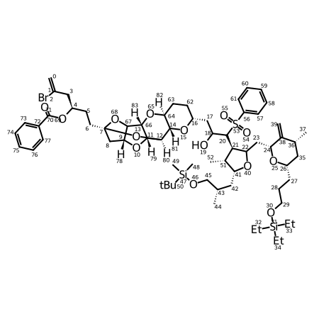 C=C(Br)C[C@@H](CC[C@@]12C[C@H]3O[C@H]4[C@@H](O1)[C@H]1O[C@@H](CC(O)C([C@H]5C(C[C@H]6O[C@@H](CCCO[Si](CC)(CC)CC)C[C@@H](C)C6=C)O[C@H](C[C@H](C)CO[Si](C)(C)C(C)(C)C)[C@@H]5C)S(=O)(=O)c5ccccc5)CC[C@@H]1O[C@H]4C3O2)OC(=O)c1ccccc1